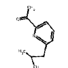 CC(=O)c1cccc(CC(C)C)n1